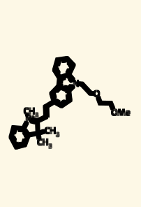 COCCOCCn1c2ccccc2c2cc(/C=C/C3=[N+](C)c4ccccc4C3(C)C)ccc21